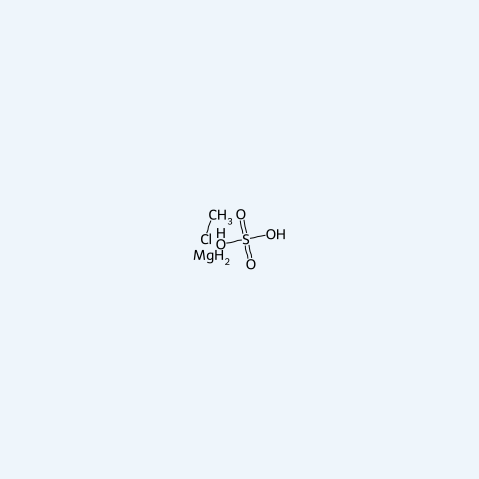 CCl.O=S(=O)(O)O.[MgH2]